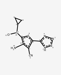 N#Cc1c(-c2nnn[nH]2)sc([S+]([O-])C2CC2)c1N